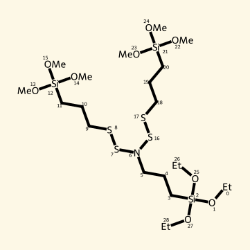 CCO[Si](CCCN(SSCCC[Si](OC)(OC)OC)SSCCC[Si](OC)(OC)OC)(OCC)OCC